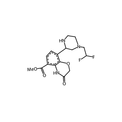 COC(=O)c1ccc(C2CN(CC(F)F)CCN2)c2c1NC(=O)CO2